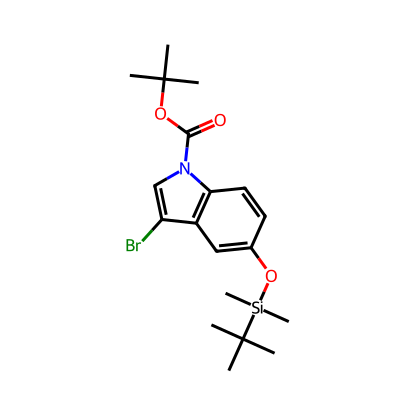 CC(C)(C)OC(=O)n1cc(Br)c2cc(O[Si](C)(C)C(C)(C)C)ccc21